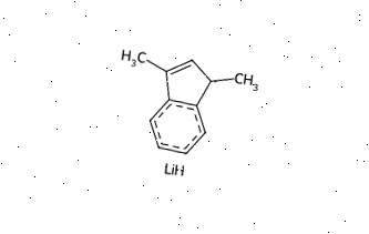 C[C]1C=C(C)c2ccccc21.[LiH]